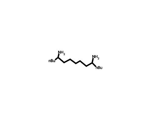 CCCCC(N)CCCCCC(N)CCCC